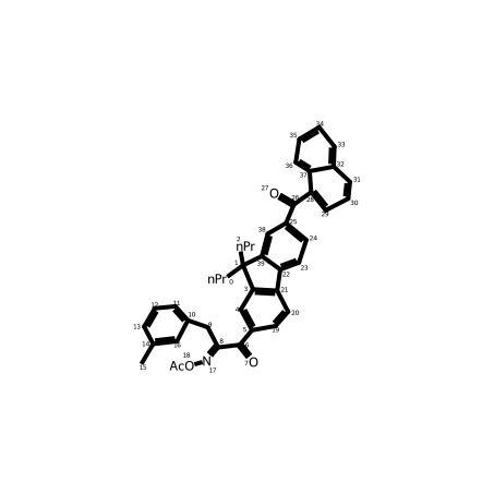 CCCC1(CCC)c2cc(C(=O)/C(Cc3cccc(C)c3)=N/OC(C)=O)ccc2-c2ccc(C(=O)c3cccc4ccccc34)cc21